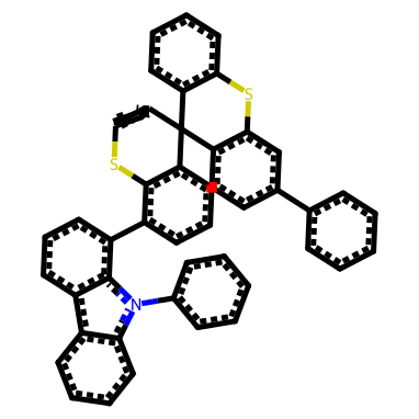 c1ccc(-c2ccc3c(c2)Sc2ccccc2C32c3ccccc3Sc3c(-c4cccc5c6ccccc6n(-c6ccccc6)c45)cccc32)cc1